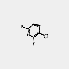 Fc1c[c]c(Cl)c(F)n1